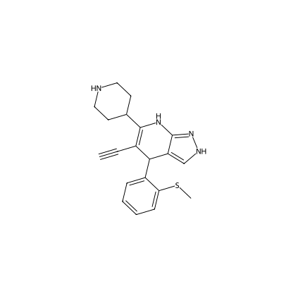 C#CC1=C(C2CCNCC2)Nc2n[nH]cc2C1c1ccccc1SC